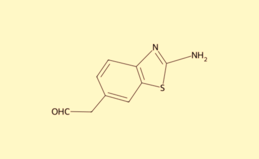 Nc1nc2ccc(CC=O)cc2s1